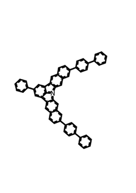 c1ccc(-c2ccc(-c3ccc4cc5c6cc(-c7ccccc7)cc7c8cc9ccc(-c%10ccc(-c%11ccccc%11)cc%10)cc9cc8n(c5cc4c3)c67)cc2)cc1